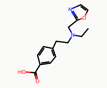 CCN(CCc1ccc(C(=O)O)cc1)Cc1ncco1